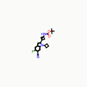 CC(C)(C)OC(=O)NC12CC(c3cc4cc(F)c(C#N)cc4n3C3CCC3)(C1)C2